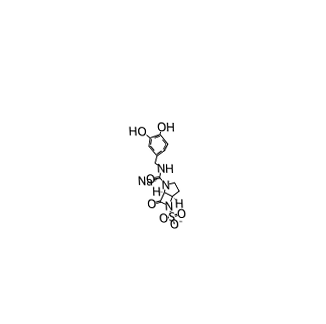 O=C(NCc1ccc(O)c(O)c1)N1CC[C@@H]2[C@H]1C(=O)N2S(=O)(=O)[O-].[Na+]